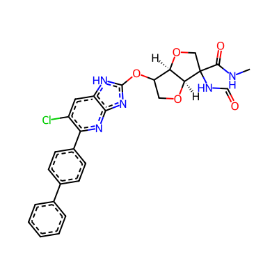 CNC(=O)C1(NC=O)CO[C@@H]2C(Oc3nc4nc(-c5ccc(-c6ccccc6)cc5)c(Cl)cc4[nH]3)CO[C@@H]21